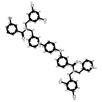 O=C(c1cccc(Br)c1)N(Cc1cc(Cl)cc(Cl)c1)Cc1ccc[n+](-c2ccc(Oc3cccc(C(=O)N(Cc4cccnc4)Cc4ccc(Cl)cc4Cl)c3)cc2)c1